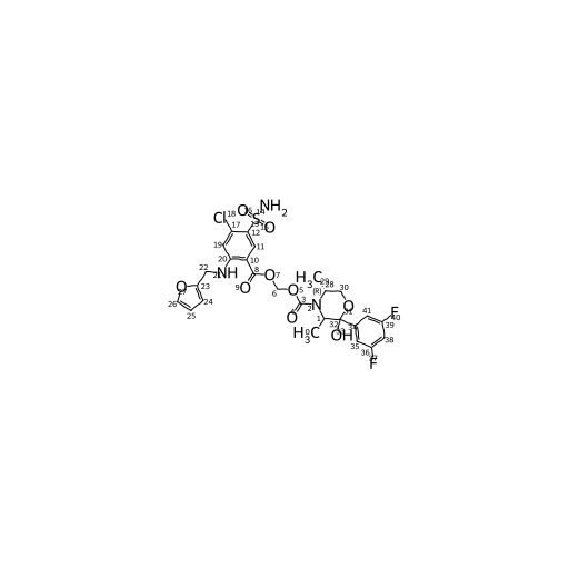 CC1N(C(=O)OCOC(=O)c2cc(S(N)(=O)=O)c(Cl)cc2NCc2ccco2)[C@H](C)COC1(O)c1cc(F)cc(F)c1